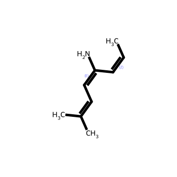 C/C=C\C(N)=C/C=C(C)C